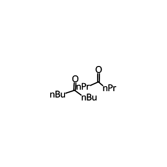 CCCC(=O)CCC.CCCCC(=O)CCCC